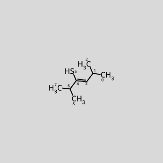 CC(C)C=C(S)C(C)C